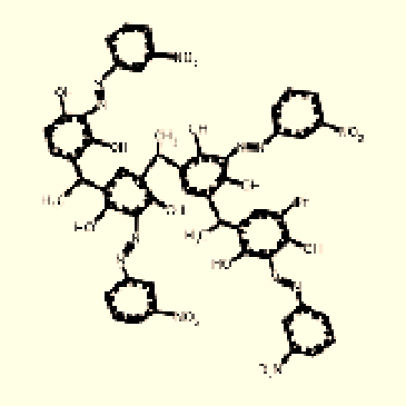 CC(C)c1cc(C(C)c2cc(C(C)c3cc(C(C)c4ccc(O)c(N=Nc5cccc([N+](=O)[O-])c5)c4O)c(O)c(N=Nc4cccc([N+](=O)[O-])c4)c3O)c(O)c(N=Nc3cccc([N+](=O)[O-])c3)c2O)c(O)c(N=Nc2cccc([N+](=O)[O-])c2)c1O